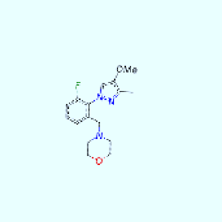 COc1cn(-c2c(F)cccc2CN2CCOCC2)nc1C